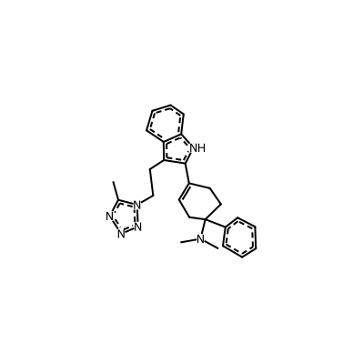 Cc1nnnn1CCc1c(C2=CCC(c3ccccc3)(N(C)C)CC2)[nH]c2ccccc12